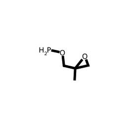 CC1(COP)CO1